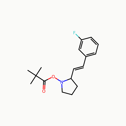 CC(C)(C)C(=O)ON1CCCC1C=Cc1cccc(F)c1